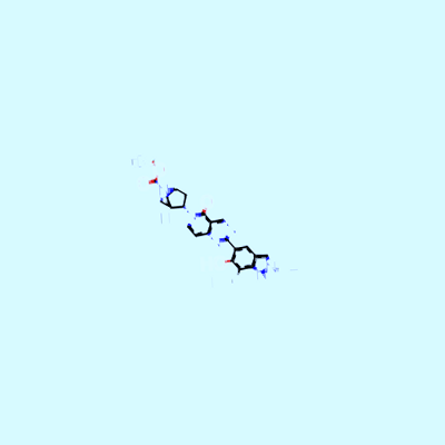 Cc1c(O)c(-c2ncc3c(=O)n(C4CC5C[C@@H]4CN5C(=O)OC(C)(C)C)ccc3n2)cc2cn(C)nc12